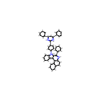 c1ccc(-c2cc(-c3ccccc3)nc(-c3ccc(-n4c5ccccc5c5c6c(ccc7ccccc76)nc(-c6ccccc6)c54)cc3)n2)cc1